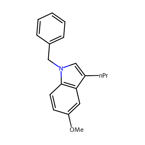 CCCc1cn(Cc2ccccc2)c2ccc(OC)cc12